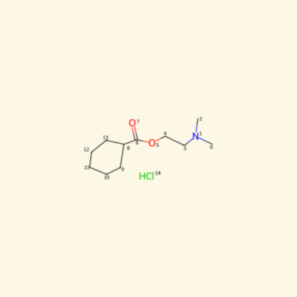 CN(C)CCOC(=O)C1CCCCC1.Cl